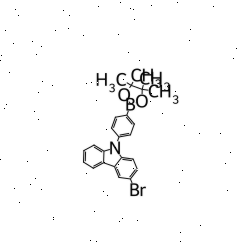 CC1(C)OB(c2ccc(-n3c4ccccc4c4cc(Br)ccc43)cc2)OC1(C)C